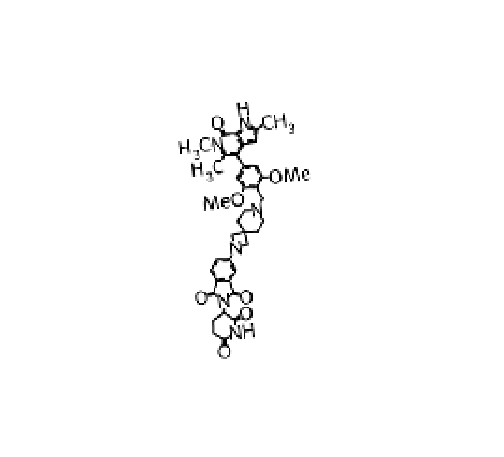 COc1cc(-c2c(C)n(C)c(=O)c3[nH]c(C)cc23)cc(OC)c1CN1CCC2(CC1)CN(c1ccc3c(c1)C(=O)N(C1CCC(=O)NC1=O)C3=O)C2